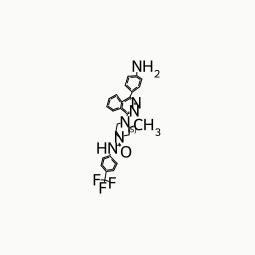 C[C@H]1CN(C(=O)Nc2ccc(C(F)(F)F)cc2)CCN1c1nnc(-c2ccc(N)cc2)c2ccccc12